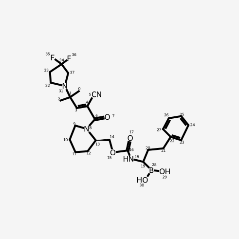 CC(C)(C=C(C#N)C(=O)N1CCCC[C@@H]1COC(=O)NC(CCc1ccccc1)B(O)O)N1CCC(F)(F)C1